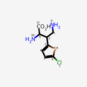 NCC(c1ccc(Cl)s1)C(N)C(=O)O